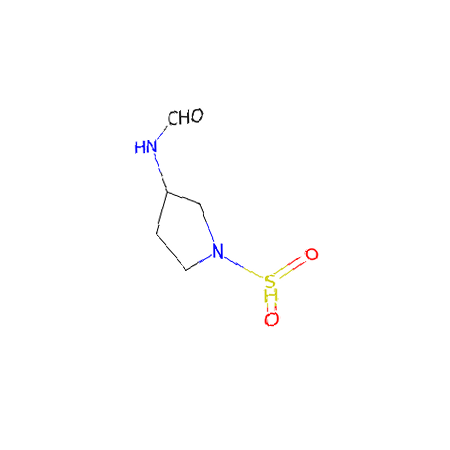 O=CNC1CCN([SH](=O)=O)C1